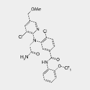 COCc1cnc(N(CC(N)=O)c2cc(C(=O)Nc3ccccc3OC(F)(F)F)ccc2Cl)c(Cl)c1